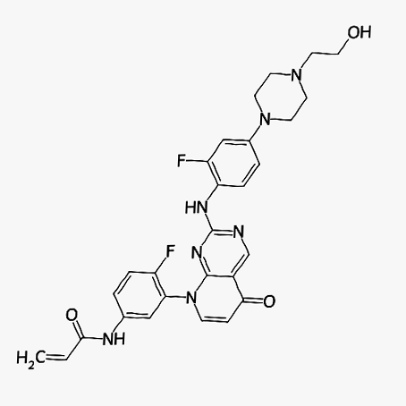 C=CC(=O)Nc1ccc(F)c(-n2ccc(=O)c3cnc(Nc4ccc(N5CCN(CCO)CC5)cc4F)nc32)c1